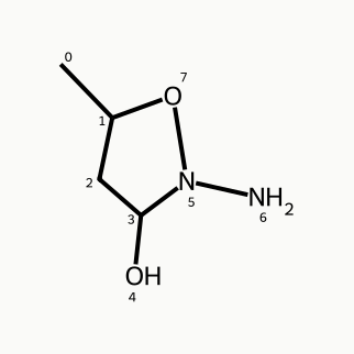 CC1CC(O)N(N)O1